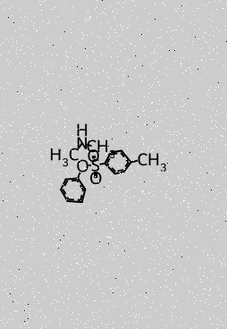 CNC.Cc1ccc(S(=O)(=O)Oc2ccccc2)cc1